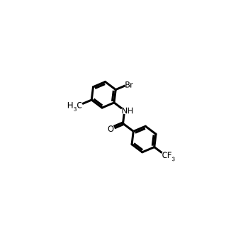 Cc1ccc(Br)c(NC(=O)c2ccc(C(F)(F)F)cc2)c1